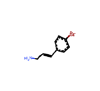 NCC=Cc1ccc(Br)cc1